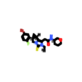 [2H]Cn1c(CC(=O)N[C@@H]2CCCOC2)c2n(c1=S)C[C@@]1(c3cc(Br)ccc3F)C[C@@H]21